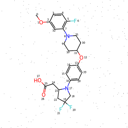 COc1ccc(F)c(N2CCC(Oc3ccc(N4CC(F)(F)CC4CC(=O)O)cc3)CC2)c1